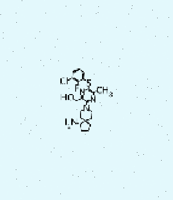 Cc1nc(N2CCC3(CCC[C@H]3N)CC2)c(CO)nc1Sc1cccc(Cl)c1F